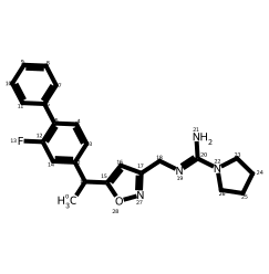 CC(c1ccc(-c2ccccc2)c(F)c1)c1cc(C/N=C(\N)N2CCCC2)no1